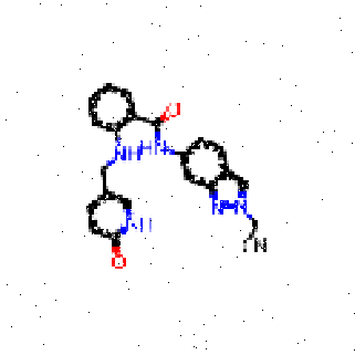 N#CCn1cc2ccc(NC(=O)c3ccccc3NCc3ccc(=O)[nH]c3)cc2n1